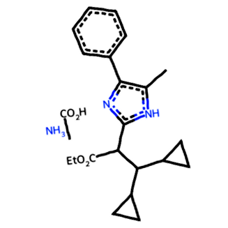 CC(=O)O.CCOC(=O)C(c1nc(-c2ccccc2)c(C)[nH]1)C(C1CC1)C1CC1.N